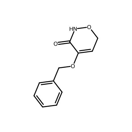 O=C1NOCC=C1OCc1ccccc1